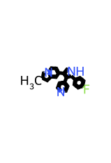 CC1CC2=CC(c3c[nH]c(-c4ccc(F)cc4)c3-c3ccncc3)=CCN2C1